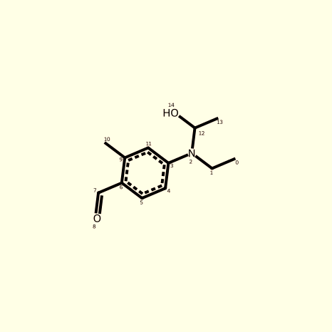 CCN(c1ccc(C=O)c(C)c1)C(C)O